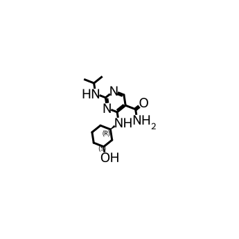 CC(C)Nc1ncc(C(N)=O)c(N[C@@H]2CCC[C@H](O)C2)n1